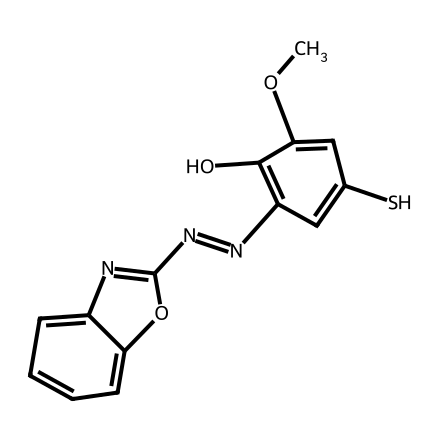 COc1cc(S)cc(/N=N/c2nc3ccccc3o2)c1O